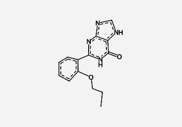 CCCOc1ccccc1-c1nc2nc[nH]c2c(=O)[nH]1